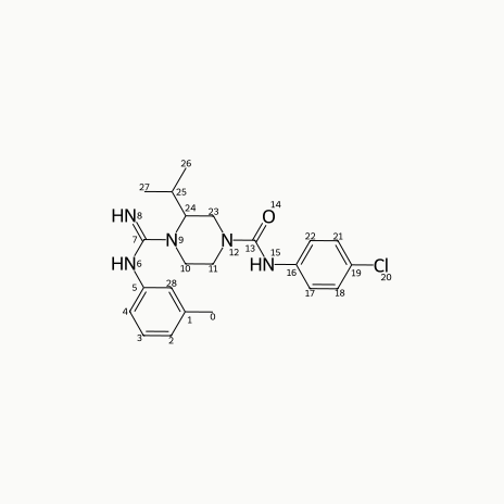 Cc1cccc(NC(=N)N2CCN(C(=O)Nc3ccc(Cl)cc3)CC2C(C)C)c1